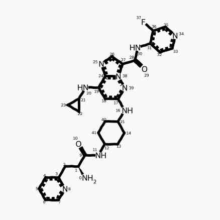 N[C@@H](Cc1ccccn1)C(=O)NC1CCC(Nc2cc(NC3CC3)c3ncc(C(=O)Nc4ccncc4F)n3n2)CC1